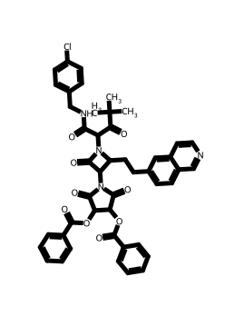 CC(C)(C)C(=O)C(C(=O)NCc1ccc(Cl)cc1)N1C(=O)C(N2C(=O)C(OC(=O)c3ccccc3)C(OC(=O)c3ccccc3)C2=O)C1CCc1ccc2cnccc2c1